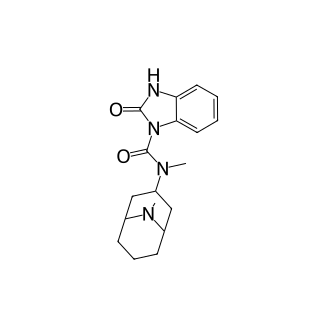 CN(C(=O)n1c(=O)[nH]c2ccccc21)C1CC2CCCC(C1)N2C